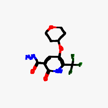 NC(=O)c1cc(OC2CCOCC2)c(C(F)(F)F)[nH]c1=O